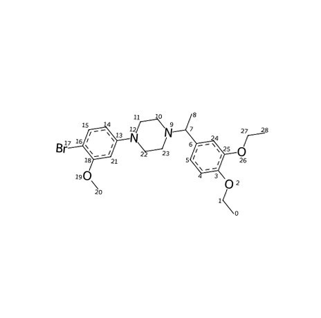 CCOc1ccc(C(C)N2CCN(c3ccc(Br)c(OC)c3)CC2)cc1OCC